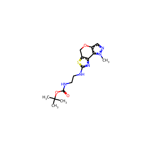 Cn1ncc2c1-c1nc(NCCNC(=O)OC(C)(C)C)sc1CO2